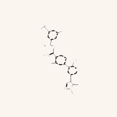 CC1C(c2cnc(N)c(-c3ccc(C(=N)N[C@H](CO)c4cc(F)cc(C(F)F)c4)c(F)c3)c2)C=NN1C